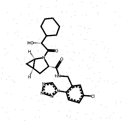 O=C(NCc1cc(Cl)ccc1-n1cnnn1)[C@@H]1C[C@H]2C[C@H]2N1C(=O)[C@H](O)C1CCCCC1